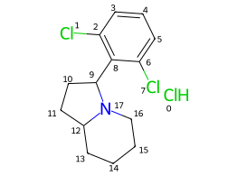 Cl.Clc1cccc(Cl)c1C1CCC2CCCCN21